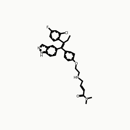 CCC(=C(c1ccc(OCCNCC=CC(=O)N(C)C)cc1)c1ccc2[nH]ncc2c1)c1ccc(F)cc1Cl